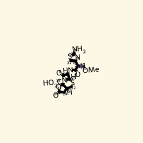 CO/N=C(\C(=O)N[C@@H]1C(=O)N2[C@@H]1SC[C@H]1CC(=O)O[C@]12C(=O)O)c1csc(N)n1